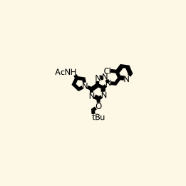 CC(=O)NC1CCN(c2nc(OCC(C)(C)C)nc3c2nnn3Cc2ncccc2Cl)C1